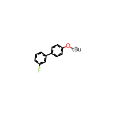 CC(C)(C)Oc1ccc(-c2[c]ccc(F)c2)cc1